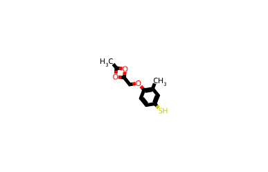 Cc1cc(S)ccc1OCC1OC(C)O1